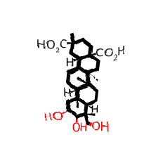 C[C@]1(C(=O)O)CC[C@]2(C(=O)O)CC[C@]3(C)C(=CC[C@@H]4[C@@]5(C)C[C@@H](O)[C@H](O)[C@@](C)(CO)[C@@H]5CC[C@]43C)[C@@H]2C1